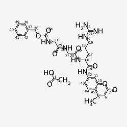 CC(=O)O.Cc1cc(=O)oc2cc(NC(=O)[C@H](CCCNC(=N)N)NC(=O)CNC(=O)CNC(=O)OCc3ccccc3)ccc12